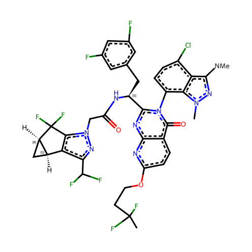 CNc1nn(C)c2c(-n3c([C@H](Cc4cc(F)cc(F)c4)NC(=O)Cn4nc(C(F)F)c5c4C(F)(F)[C@@H]4C[C@H]54)nc4nc(OCCC(C)(F)F)ccc4c3=O)ccc(Cl)c12